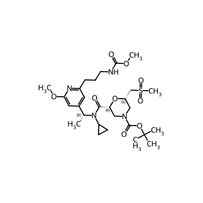 COC(=O)NCCCc1cc([C@@H](C)N(C(=O)[C@H]2CN(C(=O)OC(C)(C)C)C[C@@H](CS(C)(=O)=O)O2)C2CC2)cc(OC)n1